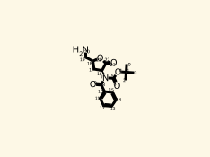 CC(C)(C)OC(=O)N(C(=O)c1ccccc1)[C@H]1CC(CN)OC1=O